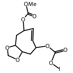 COC(=O)OC1/C=C/C(OC(=O)OI)CC2OCOC2C1